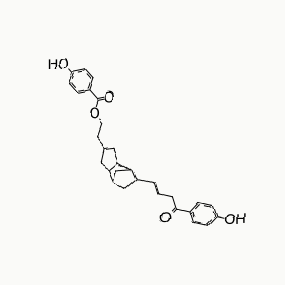 O=C(CCCC1CC2CC1C1CC(CCOC(=O)c3ccc(O)cc3)CC21)c1ccc(O)cc1